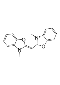 CN1/C(=C/c2oc3ccccc3[n+]2C)Oc2ccccc21